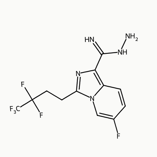 N=C(NN)c1nc(CCC(F)(F)C(F)(F)F)n2cc(F)ccc12